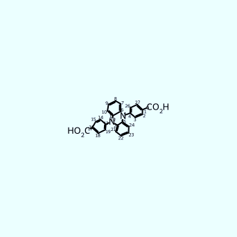 O=C(O)c1ccc(N2c3ccccc3N(c3ccc(C(=O)O)cc3)c3ccccc32)cc1